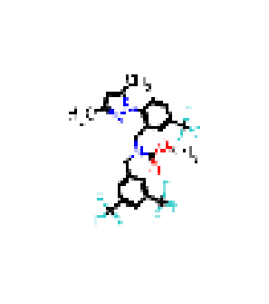 COC(=O)N(Cc1cc(C(F)(F)F)cc(C(F)(F)F)c1)Cc1cc(C(F)(F)F)ccc1-n1nc(C)cc1C